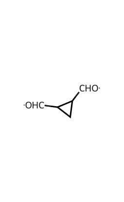 O=[C]C1CC1[C]=O